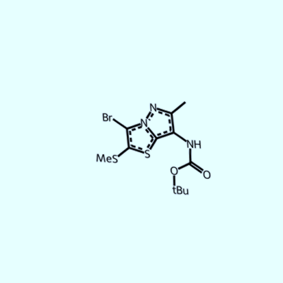 CSc1sc2c(NC(=O)OC(C)(C)C)c(C)nn2c1Br